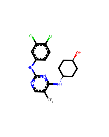 O[C@H]1CC[C@H](Nc2nc(Nc3ccc(Cl)c(Cl)c3)ncc2C(F)(F)F)CC1